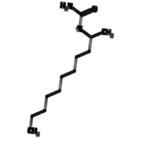 CCCCCCCCCC(C)[N]C(N)=O